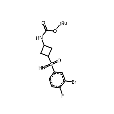 CC(C)(C)OC(=O)NC1CC(S(=N)(=O)c2ccc(F)c(Br)c2)C1